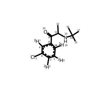 [2H]c1c([2H])c(Cl)c([2H])c(C(=O)C(C)NC(C)(C)C)c1[2H]